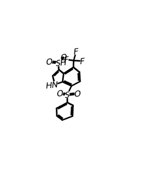 O=[SH](=O)c1c[nH]c2c(S(=O)(=O)c3ccccc3)ccc(C(F)(F)F)c12